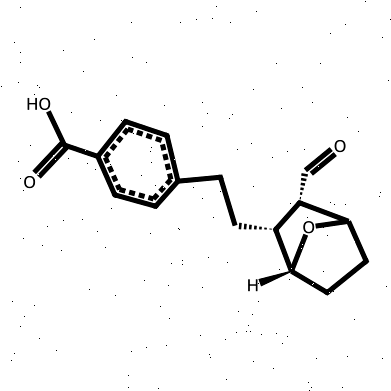 O=C[C@@H]1C2CC[C@@H](O2)[C@@H]1CCc1ccc(C(=O)O)cc1